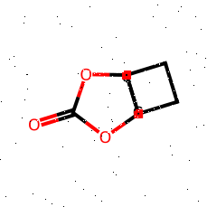 O=C1OC23CCC2(CC3)O1